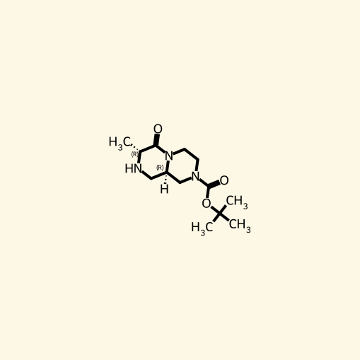 C[C@H]1NC[C@@H]2CN(C(=O)OC(C)(C)C)CCN2C1=O